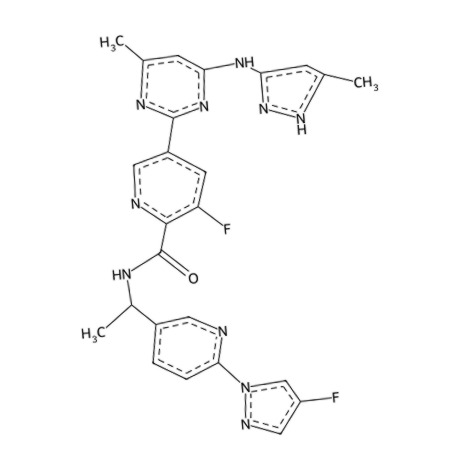 Cc1cc(Nc2cc(C)[nH]n2)nc(-c2cnc(C(=O)NC(C)c3ccc(-n4cc(F)cn4)nc3)c(F)c2)n1